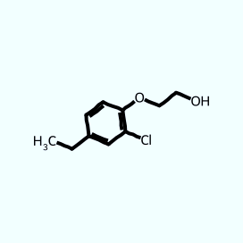 CCc1ccc(OCCO)c(Cl)c1